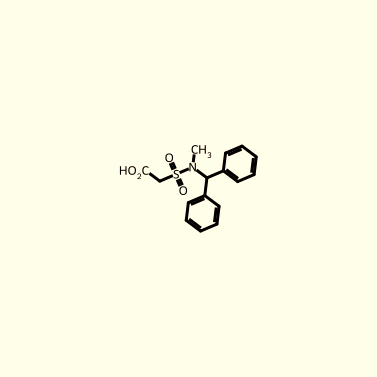 CN(C(c1ccccc1)c1ccccc1)S(=O)(=O)CC(=O)O